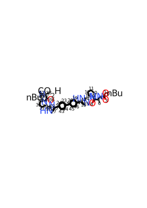 CCCCOC(=O)N[C@@H](C)C(=O)N1CCC[C@H]1c1ncc(-c2ccc(-c3ccc(-c4c[nH]c([C@@H]5CCCN5C(=O)[C@H](C)N(CCCC)C(=O)O)n4)cc3)cc2)[nH]1